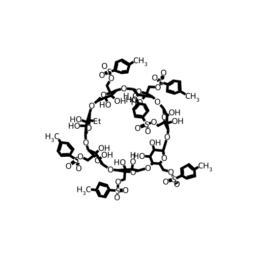 CCC1OC2OC3C(COS(=O)(=O)c4ccc(C)cc4)OC(OC4C(COS(=O)(=O)c5ccc(C)cc5)OC(OC5C(COS(=O)(=O)c6ccc(C)cc6)OC(OC6C(COS(=O)(=O)c7ccc(C)cc7)OC(OC7C(COS(=O)(=O)c8ccc(C)cc8)OC(OC8C(COS(=O)(=O)c9ccc(C)cc9)OC(OC1C(O)C2O)C(O)C8O)C(O)C7O)C(O)C6O)C(O)C5O)C(O)C4O)C(O)C3O